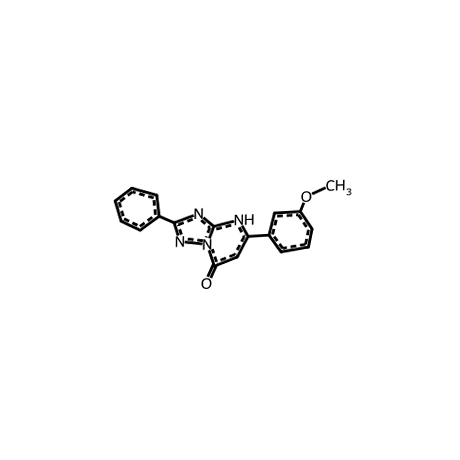 COc1cccc(-c2cc(=O)n3nc(-c4ccccc4)nc3[nH]2)c1